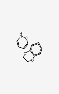 C1=CNOC=C1.c1ccc2c(c1)OCCO2